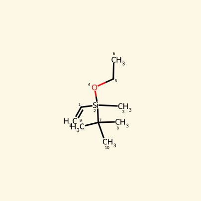 C=C[Si](C)(OCC)C(C)(C)C